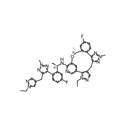 CCn1cc(Cc2nn(C)nc2-c2ccc(F)cc2[C@@H](C)Nc2ncc3cc2O[C@H](C)c2cc(F)ccc2-c2nn(C)nc2Cc2cnn(CC)c2-3)cn1